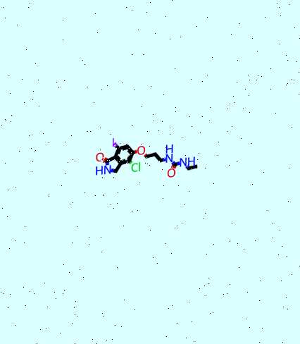 CCNC(=O)NCCCOc1cc(I)c2c(c1Cl)CNC2=O